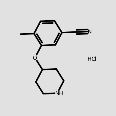 Cc1ccc(C#N)cc1OC1CCNCC1.Cl